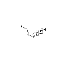 Cc1c(C)c2c(c(C)c1OC(=O)O)CCC(C)(CCCC(C)CCCC(C)CCCC(C)C)O2